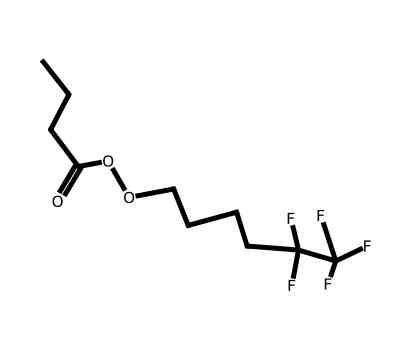 CCCC(=O)OOCCCCC(F)(F)C(F)(F)F